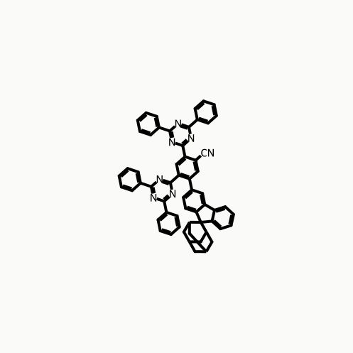 N#Cc1cc(-c2ccc3c(c2)-c2ccccc2C32C3CC4CC(C3)CC2C4)c(-c2nc(-c3ccccc3)nc(-c3ccccc3)n2)cc1-c1nc(-c2ccccc2)nc(-c2ccccc2)n1